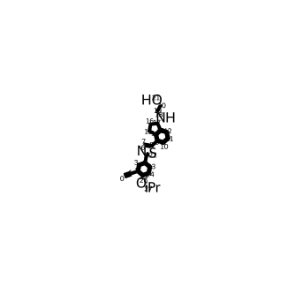 C#Cc1cc(-c2ncc(-c3cccc4c3CC[C@@H]4NCCO)s2)ccc1OC(C)C